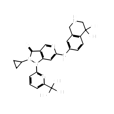 CC(C)(C)c1cccc(-n2c3cc(Nc4ccc5c(c4)CNCC5(C)C)ncc3c(=O)n2C2CC2)n1